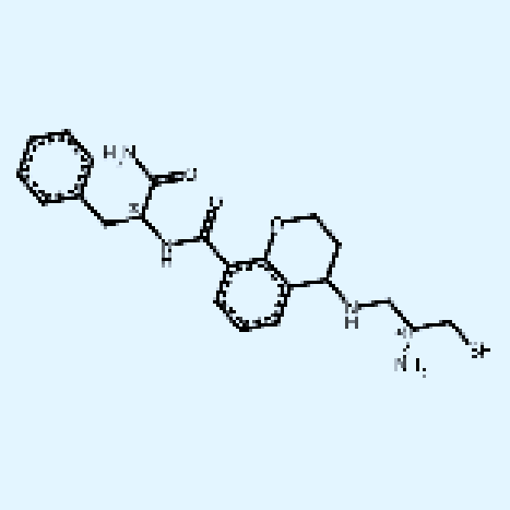 NC(=O)[C@H](Cc1ccccc1)NC(=O)c1cccc2c1OCCC2NC[C@@H](N)CS